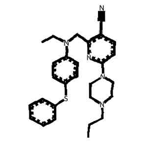 CCCN1CCN(c2ccc(C#N)c(CN(CC)c3ccc(Sc4ccccc4)cc3)n2)CC1